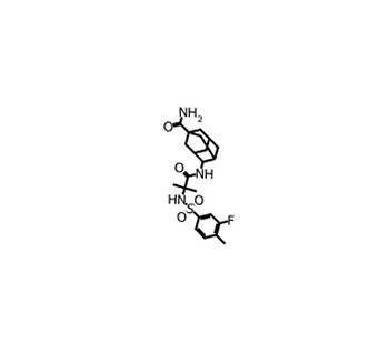 Cc1ccc(S(=O)(=O)NC(C)(C)C(=O)NC2C3CC4CC2CC(C(N)=O)(C4)C3)cc1F